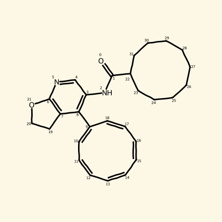 O=C(Nc1cnc2c(c1-c1ccccccccc1)CCO2)C1CCCCCCCCC1